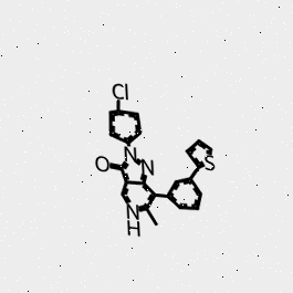 Cc1[nH]cc2c(=O)n(-c3ccc(Cl)cc3)nc-2c1-c1cccc(-c2cccs2)c1